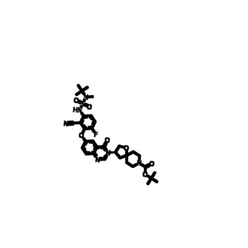 CN(C(C)(C)C)S(=O)(=O)Nc1ccc(F)c(Oc2ccc3ncn([C@H]4COC5(CCN(C(=O)OC(C)(C)C)CC5)C4)c(=O)c3c2)c1C#N